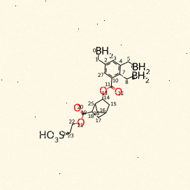 BCc1cc(CB)c(CB)c(C(=O)OC2CC3CC(C(=O)OCCS(=O)(=O)O)C2C3)c1